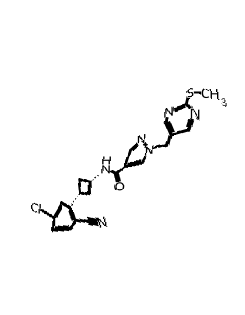 CSc1ncc(Cn2cc(C(=O)N[C@H]3C[C@@H](c4cc(Cl)ccc4C#N)C3)cn2)cn1